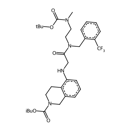 CC(C)COC(=O)N1CCc2c(cccc2NCC(=O)N(CCN(C)C(=O)OC(C)(C)C)Cc2ccccc2C(F)(F)F)C1